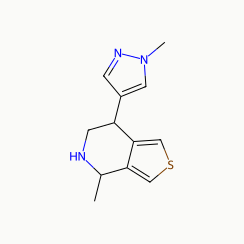 CC1NCC(c2cnn(C)c2)c2cscc21